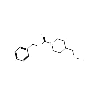 CC(=O)SCC1CCN(C(=O)OCc2ccccc2)CC1